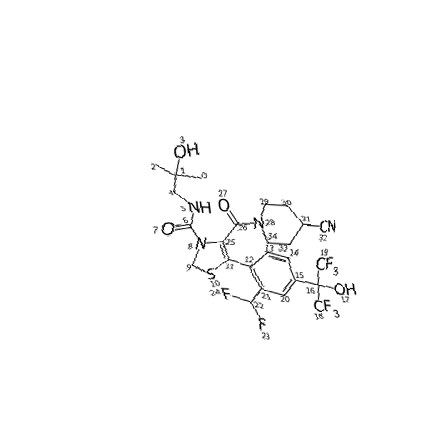 CC(C)(O)CNC(=O)N1CSC(c2ccc(C(O)(C(F)(F)F)C(F)(F)F)cc2C(F)F)=C1C(=O)N1CCC(C#N)CC1